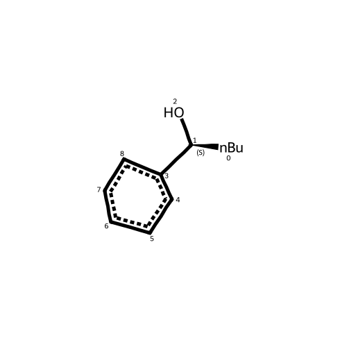 C[CH]CC[C@H](O)c1ccccc1